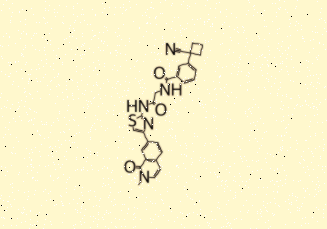 Cn1ccc2ccc(-c3csc(NC(=O)CNC(=O)c4cccc(C5(C#N)CCC5)c4)n3)cc2c1=O